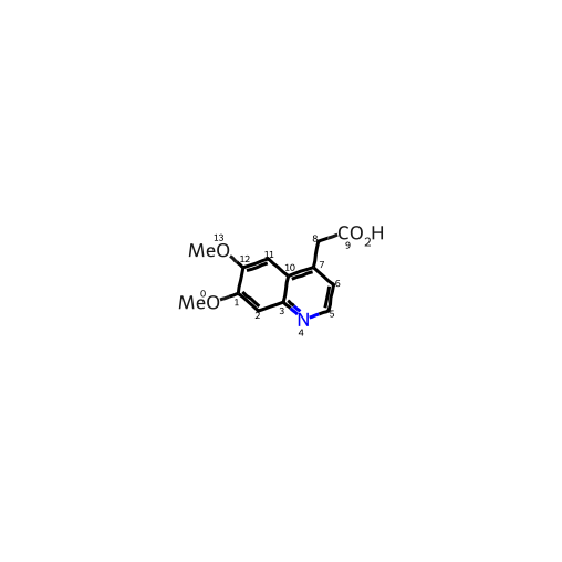 COc1cc2nccc(CC(=O)O)c2cc1OC